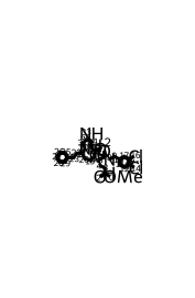 COC(=O)CC[C@H](C(=O)NCc1ccc(Cl)c(Cl)c1)N1CCC(CCc2ccccc2)N2C[C@H](N)C[C@H]2C1=O